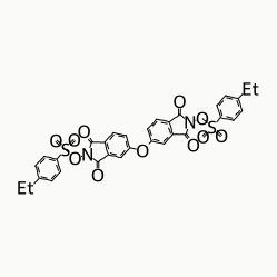 CCc1ccc(S(=O)(=O)ON2C(=O)c3ccc(Oc4ccc5c(c4)C(=O)N(OS(=O)(=O)c4ccc(CC)cc4)C5=O)cc3C2=O)cc1